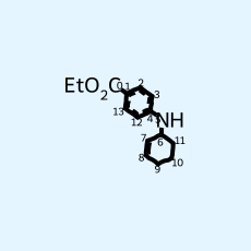 CCOC(=O)c1ccc(NC2C=CCCC2)cc1